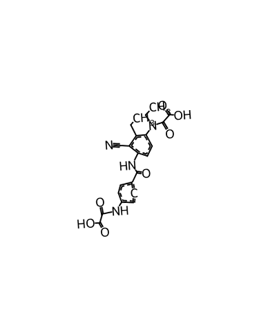 CCc1c(N(CC)C(=O)C(=O)O)ccc(NC(=O)c2ccc(NC(=O)C(=O)O)cc2)c1C#N